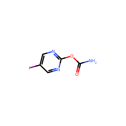 NC(=O)Oc1ncc(I)cn1